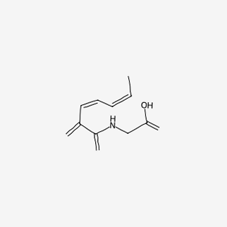 C=C(O)CNC(=C)C(=C)/C=C\C=C/C